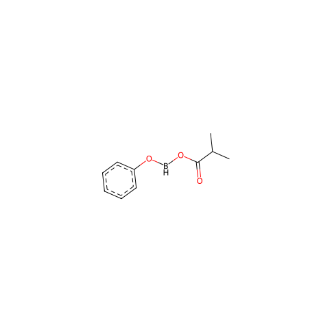 CC(C)C(=O)OBOc1ccccc1